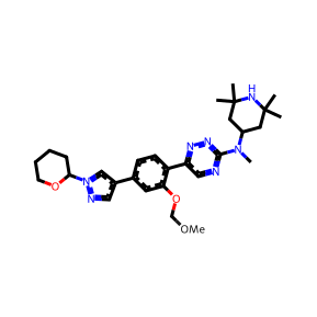 COCOc1cc(-c2cnn(C3CCCCO3)c2)ccc1-c1cnc(N(C)C2CC(C)(C)NC(C)(C)C2)nn1